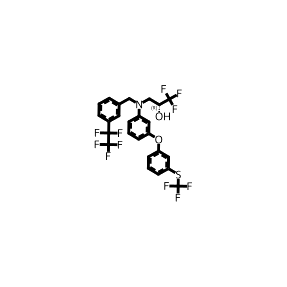 O[C@H](CN(Cc1cccc(C(F)(F)C(F)(F)F)c1)c1cccc(Oc2cccc(SC(F)(F)F)c2)c1)C(F)(F)F